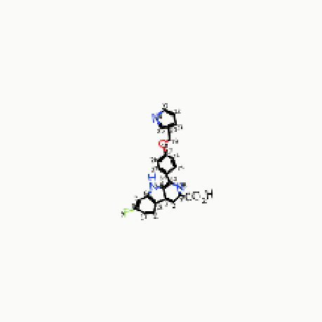 O=C(O)c1cc2c([nH]c3cc(F)ccc32)c(-c2ccc(OCc3cccnc3)cc2)n1